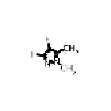 Cc1c(F)c(F)nn1C